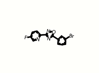 Fc1ccc(-c2noc(-c3cccc(Br)c3)n2)nc1